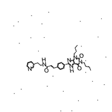 CCCCn1c(=O)c2[nH]c(-c3ccc(/C=C/C(=O)NCCc4cccnc4)cc3)nc2n(CCCC)c1=O